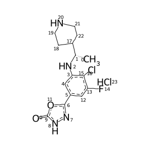 C[C@H](Nc1cc(-c2n[nH]c(=O)o2)cc(F)c1Cl)C1CCNCC1.Cl